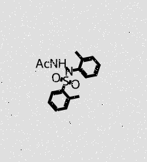 CC(=O)NN(c1ccccc1C)S(=O)(=O)c1ccccc1C